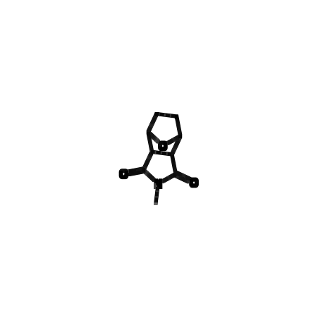 CN1C(=O)C2C3CCC(O3)C2C1=O